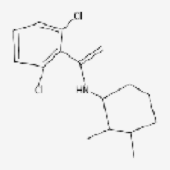 C=C(NC1CCCC(C)C1C)c1c(Cl)cccc1Cl